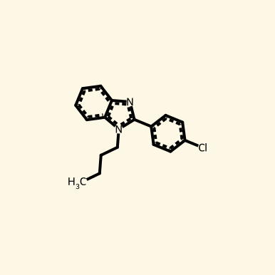 CCCCn1c(-c2ccc(Cl)cc2)nc2ccccc21